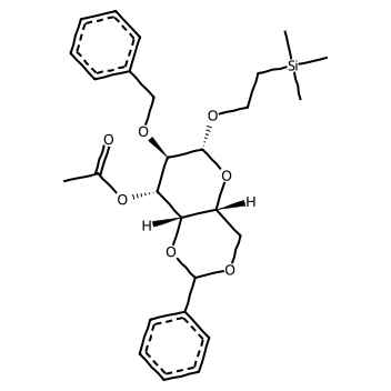 CC(=O)O[C@H]1[C@H]2OC(c3ccccc3)OC[C@H]2O[C@@H](OCC[Si](C)(C)C)[C@@H]1OCc1ccccc1